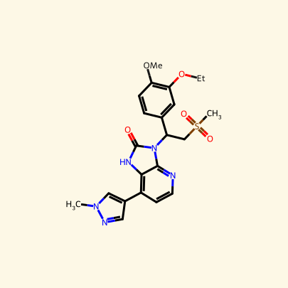 CCOc1cc(C(CS(C)(=O)=O)n2c(=O)[nH]c3c(-c4cnn(C)c4)ccnc32)ccc1OC